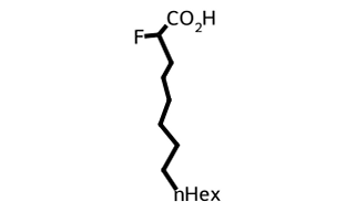 CCCCCCCCCCCCC(F)C(=O)O